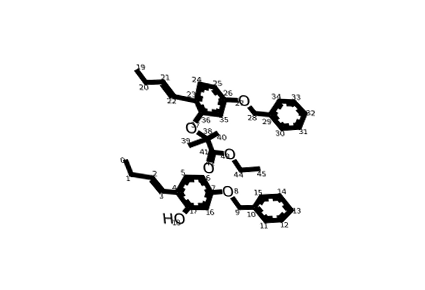 CCC=Cc1ccc(OCc2ccccc2)cc1O.CCC=Cc1ccc(OCc2ccccc2)cc1OC(C)(C)C(=O)OCC